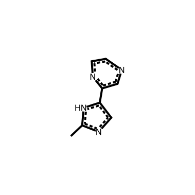 Cc1ncc(-c2cnccn2)[nH]1